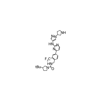 CC(C)(C)C1CCN(C(=O)NCc2ccc(-c3ccnc(Nc4cnn(C5CCNC5)c4)n3)cc2C(F)(F)F)C1